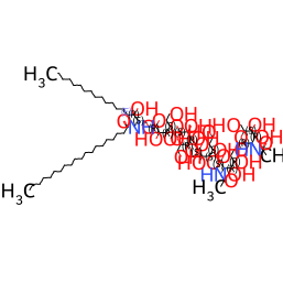 CCCCCCCCCCCCC/C=C/[C@@H](O)[C@H](CO[C@@H]1OC(CO)[C@@H](O[C@@H]2OC(CO)[C@H](O[C@@H]3OC(CO)[C@H](O)[C@H](O[C@@H]4OC(CO[C@@H]5OC(CO)[C@@H](O)[C@H](O)C5NC(C)=O)[C@H](O)[C@H](O)C4NC(C)=O)C3O)[C@H](O)C2O)[C@H](O)C1O)NC(=O)CCCCCCCCCCCCCCCCCCC